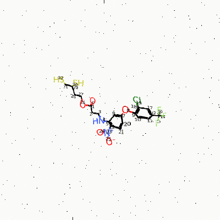 O=C(CCNc1cc(Oc2ccc(C(F)(F)F)cc2Cl)ccc1[N+](=O)[O-])OCCC(S)CS